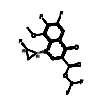 COc1c(F)c(F)cc2c(=O)c(C(=O)OB(F)F)cn([C@@H]3C[C@H]3F)c12